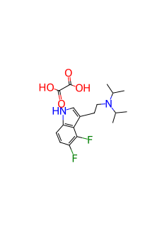 CC(C)N(CCc1c[nH]c2ccc(F)c(F)c12)C(C)C.O=C(O)C(=O)O